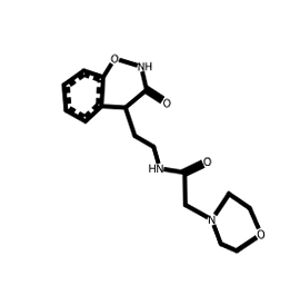 O=C(CN1CCOCC1)NCCC1C(=O)NOc2ccccc21